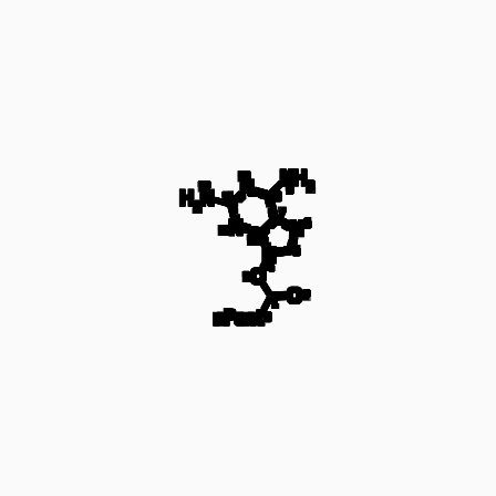 CCCCCC(=O)On1cnc2c(N)nc(N)nc21